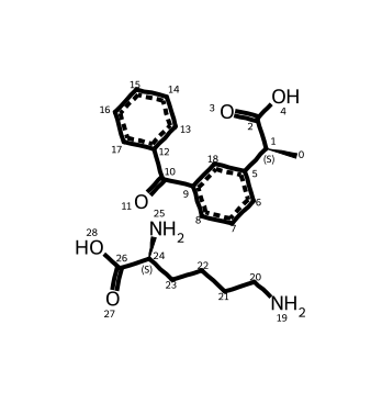 C[C@H](C(=O)O)c1cccc(C(=O)c2ccccc2)c1.NCCCC[C@H](N)C(=O)O